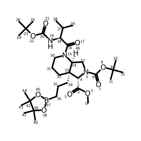 COC(=O)[C@H]1N(C(=O)OC(C)(C)C)C[C@@H]2N(C(=O)[C@@H](NC(=O)OC(C)(C)C)C(C)C)CCC[C@@]21CCCB1OC(C)(C)C(C)(C)O1